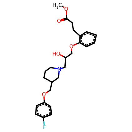 COC(=O)CCc1ccccc1OCC(O)CN1CCCC(COc2ccc(F)cc2)C1